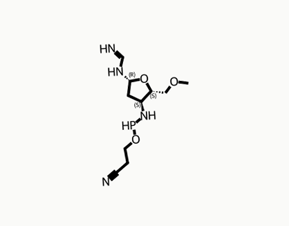 COC[C@H]1O[C@@H](NC=N)C[C@@H]1NPOCCC#N